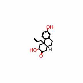 C=CCC12CC(O)C(=O)C[C@H]1CCc1cc(O)ccc12